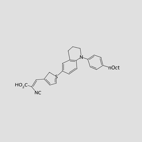 [C-]#[N+]/C(=C\C1=CC=S(c2ccc3c(c2)CCCN3c2ccc(CCCCCCCC)cc2)C1)C(=O)O